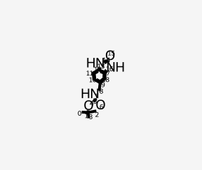 CC(C)(C)OC(=O)NCc1ccc2[nH]c(=O)[nH]c2c1